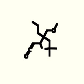 CCCC(COC)(CC(C)(C)C)C(C)C=C=O